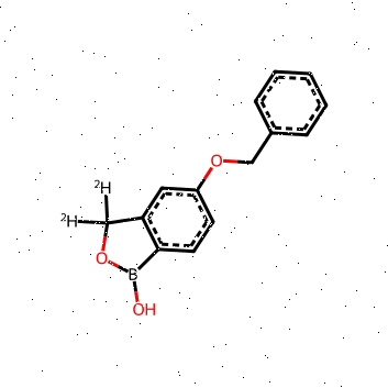 [2H]C1([2H])OB(O)c2ccc(OCc3ccccc3)cc21